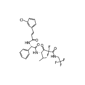 CC(C)[C@H](NC(=O)[C@@H](NC(=O)C=Cc1cccc(Cl)c1)c1ccccc1)C(=O)C(F)(F)C(=O)NCC(F)(F)F